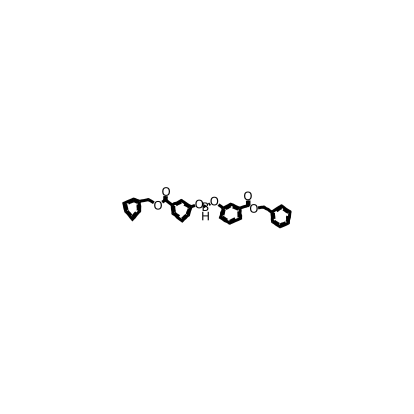 O=C(OCc1ccccc1)c1cccc(OBOc2cccc(C(=O)OCc3ccccc3)c2)c1